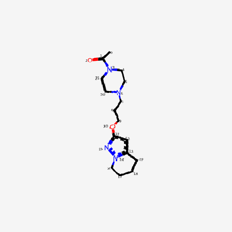 CC(=O)N1CCN(CCCOc2cc3n(n2)CCCC3)CC1